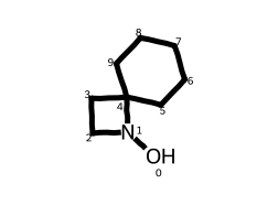 ON1CCC12CCCCC2